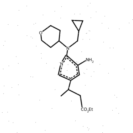 CCOC(=O)CC(C)c1cnc(N(CC2CC2)C2CCOCC2)c(N)c1